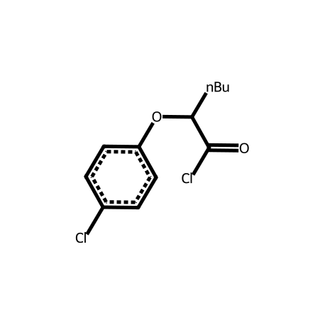 CCCCC(Oc1ccc(Cl)cc1)C(=O)Cl